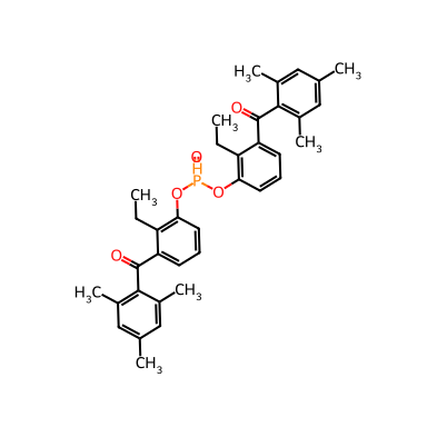 CCc1c(O[PH](=O)Oc2cccc(C(=O)c3c(C)cc(C)cc3C)c2CC)cccc1C(=O)c1c(C)cc(C)cc1C